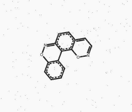 C1=NOc2c3c(ccc2=C1)=NOc1ccccc1-3